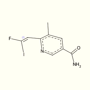 Cc1cc(C(N)=O)cnc1/C=C(/F)I